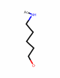 CC(=O)NCCCCC[O]